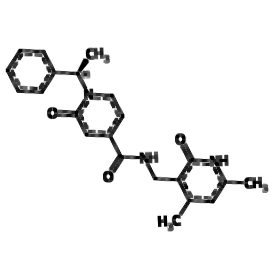 Cc1cc(C)c(CNC(=O)c2ccn([C@H](C)c3ccccc3)c(=O)c2)c(=O)[nH]1